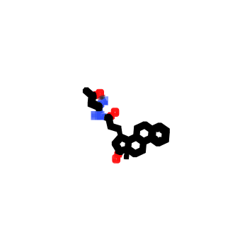 Cc1cc(NC(=O)CC[C@@H]2CC(=O)[C@@]3(C)CCC4c5ccccc5CCC4C23)no1